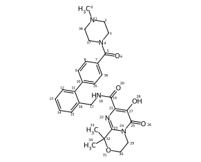 CN1CCN(C(=O)c2ccc(-c3ccccc3CNC(=O)c3nc4n(c(=O)c3O)CCOC4(C)C)cc2)CC1